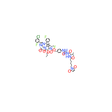 CCCO[C@@H]1C(=O)N([C@@H](c2nc(-c3cc(Cl)ccc3F)cn2Cc2cccc(F)c2)C(C)(C)OC)C[C@H]2C[C@@H](CF)N(C(=O)OCc3ccc(NC(=O)CNC(=O)C(NC(=O)CCCCCN4C(=O)C=CC4=O)C(C)C)cc3)C21